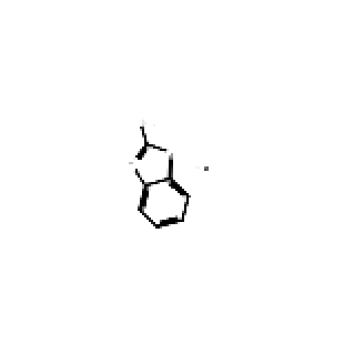 O=[N+]([O-])c1nc2ccccc2s1.[NaH]